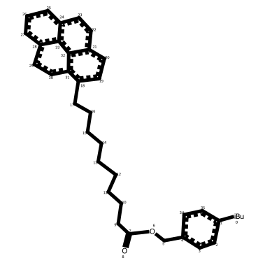 CCC(C)c1ccc(COC(=O)CCCCCCCCCc2ccc3ccc4cccc5ccc2c3c45)cc1